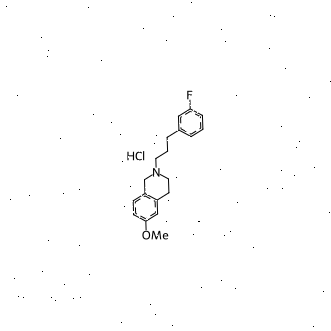 COc1ccc2c(c1)CCN(CCCc1cccc(F)c1)C2.Cl